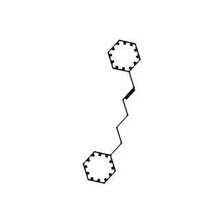 C(=Cc1ccccc1)CCCc1ccccc1